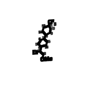 CCC(=COC)c1ccc(-c2ccc(C(F)(F)F)cc2)cc1